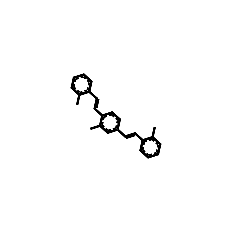 Cc1ccccc1C=Cc1ccc(C=Cc2ccccc2C)c(C)c1